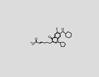 COC(=O)/C=C/CCCc1cn(C2CCCC2)c2cc(NC3CCCCC3)c(F)cc2c1=O